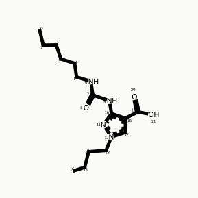 CCCCCCNC(=O)Nc1nn(CCCC)cc1C(=O)O